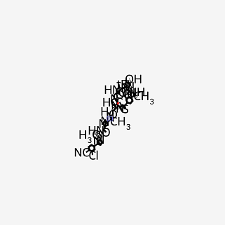 C/C(=N\OCCN1CCN(CC(O)NC([C@H](O)N2C[C@H](O)C[C@H]2C(=O)N[C@@H](C)c2ccc(-c3scnc3C)cc2)C(C)(C)C)CC1)c1cc(C(=O)N[C@@H](C)Cn2ccc(-c3ccc(C#N)c(Cl)c3)n2)n[nH]1